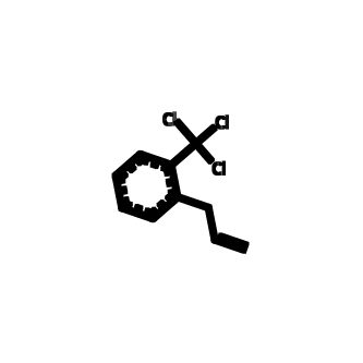 C=CCc1ccccc1C(Cl)(Cl)Cl